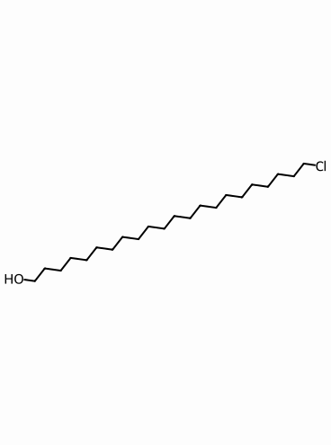 OCCCCCCCCCCCCCCCCCCCCCCCl